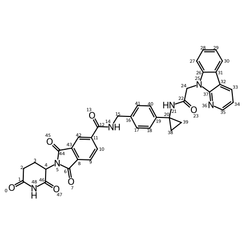 O=C1CCC(N2C(=O)c3ccc(C(=O)NCc4ccc(C5(NC(=O)Cn6c7ccccc7c7cccnc76)CC5)cc4)cc3C2=O)C(=O)N1